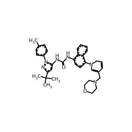 Cc1ccc(-n2nc(C(C)(C)C)cc2NC(=O)Nc2ccc(N3C=C(CN4CCOCC4)C=CC3)c3ccccc23)cc1